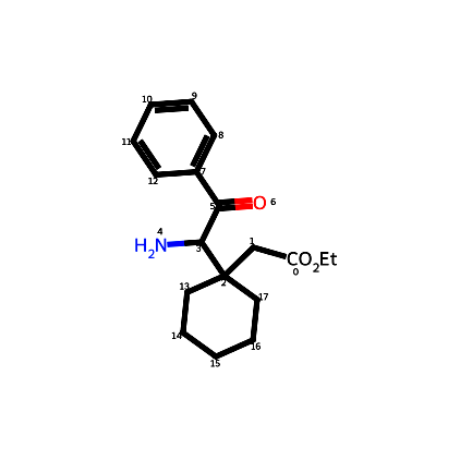 CCOC(=O)CC1(C(N)C(=O)c2ccccc2)CCCCC1